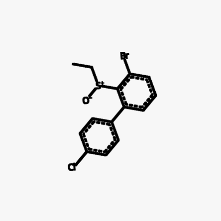 CC[S+]([O-])c1c(Br)cccc1-c1ccc(Cl)cc1